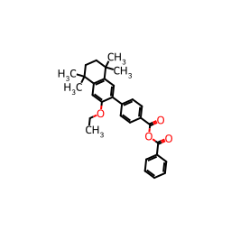 CCOc1cc2c(cc1-c1ccc(C(=O)OC(=O)c3ccccc3)cc1)C(C)(C)CCC2(C)C